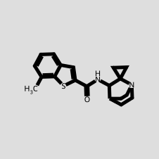 Cc1cccc2cc(C(=O)NC3C4CCN(CC4)C34CC4)sc12